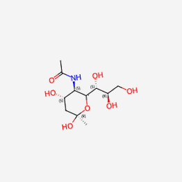 CC(=O)N[C@H]1[C]([C@H](O)[C@H](O)CO)O[C@@](C)(O)C[C@@H]1O